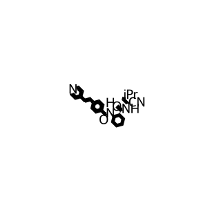 CC(C)C[C@@H](C#N)NC(=O)[C@@H]1CCCC[C@@H]1NC(=O)c1ccc(/C=C/c2ccncc2)cc1